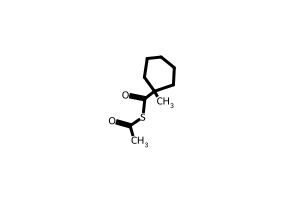 CC(=O)SC(=O)C1(C)CCCCC1